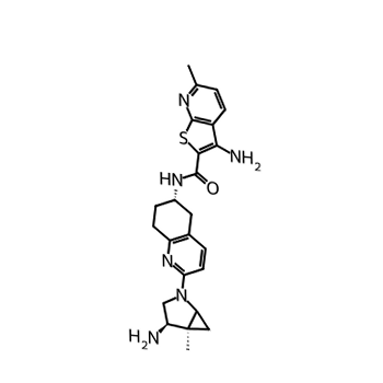 Cc1ccc2c(N)c(C(=O)N[C@H]3CCc4nc(N5C[C@H](N)[C@]6(C)CC56)ccc4C3)sc2n1